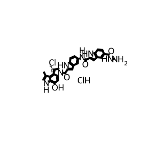 Cc1c[nH]c2c(O)cc3c(c12)[C@H](CCl)CN3C(=O)c1cc2cc(NC(=O)c3cc4cc(C(=O)NN)ccc4[nH]3)ccc2[nH]1.Cl